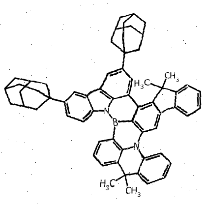 CC1(C)c2ccccc2N2c3cc4c(c5c3B(c3cccc1c32)n1c2ccc(C36CC7CC(CC(C7)C3)C6)cc2c2cc(C36CC7CC(CC(C7)C3)C6)cc-5c21)C(C)(C)c1ccccc1-4